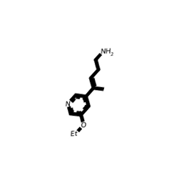 CCOc1cncc(C(C)=CCCN)c1